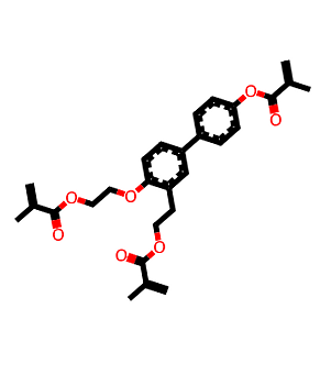 C=C(C)C(=O)OCCOc1ccc(-c2ccc(OC(=O)C(=C)C)cc2)cc1CCOC(=O)C(=C)C